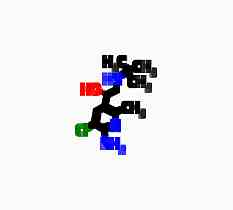 Cc1nc(N)c(Cl)cc1[C@H](O)CNC(C)(C)C